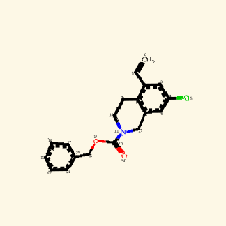 C=Cc1cc(Cl)cc2c1CCN(C(=O)OCc1ccccc1)C2